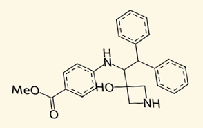 COC(=O)c1ccc(NC(C(c2ccccc2)c2ccccc2)C2(O)CNC2)cc1